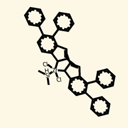 CC1=Cc2c(ccc(-c3ccccc3)c2-c2ccccc2)[CH]1[Zr]([Cl])([Cl])([CH]1C(C)=Cc2c1ccc(-c1ccccc1)c2-c1ccccc1)[SiH](C)C